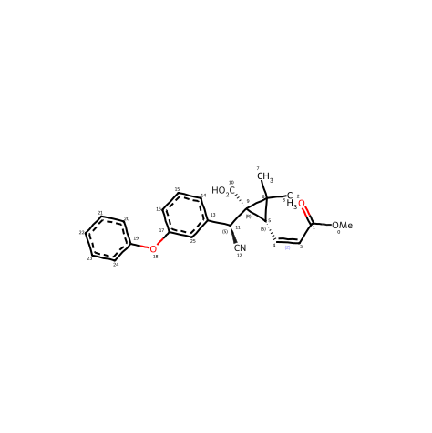 COC(=O)/C=C\[C@H]1C(C)(C)[C@]1(C(=O)O)[C@@H](C#N)c1cccc(Oc2ccccc2)c1